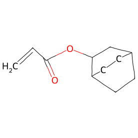 C=CC(=O)OC1CC2CCC1CC2